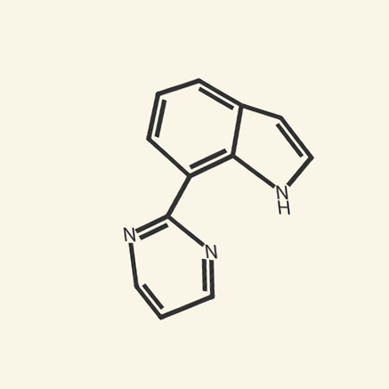 c1cnc(-c2cccc3cc[nH]c23)nc1